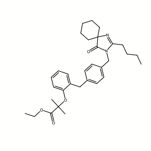 CCCCC1=NC2(CCCCC2)C(=O)N1Cc1ccc(Cc2ccccc2OC(C)(C)C(=O)OCC)cc1